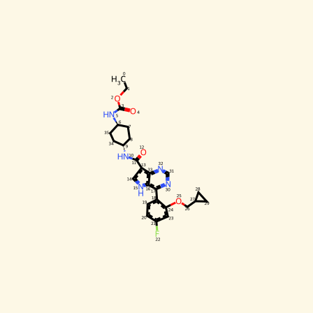 CCOC(=O)N[C@H]1CC[C@H](NC(=O)c2c[nH]c3c(-c4ccc(F)cc4OCC4CC4)ncnc23)CC1